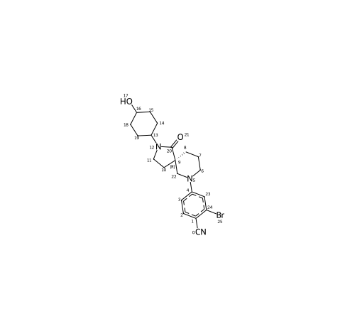 N#Cc1ccc(N2CCC[C@@]3(CCN(C4CCC(O)CC4)C3=O)C2)cc1Br